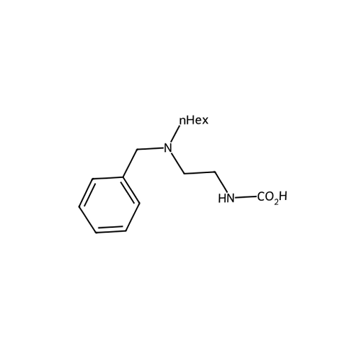 CCCCCCN(CCNC(=O)O)Cc1ccccc1